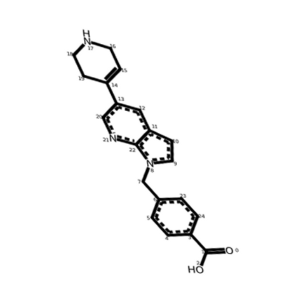 O=C(O)c1ccc(Cn2ccc3cc(C4=CCNCC4)cnc32)cc1